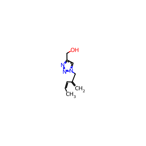 C=C(/C=C\C)Cn1cc(CO)nn1